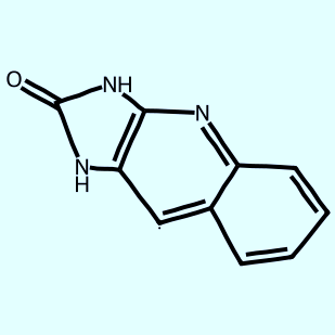 O=c1[nH]c2[c]c3ccccc3nc2[nH]1